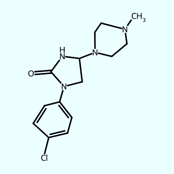 CN1CCN(C2CN(c3ccc(Cl)cc3)C(=O)N2)CC1